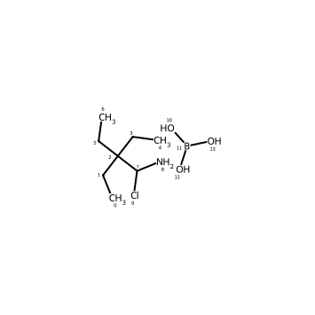 CCC(CC)(CC)C(N)Cl.OB(O)O